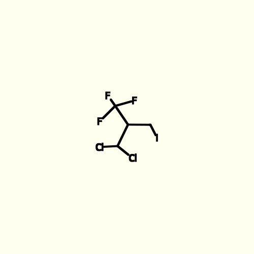 FC(F)(F)C(CI)C(Cl)Cl